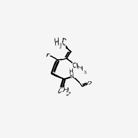 C=C(/C=C(F)\C(C)=C/C)NC=O